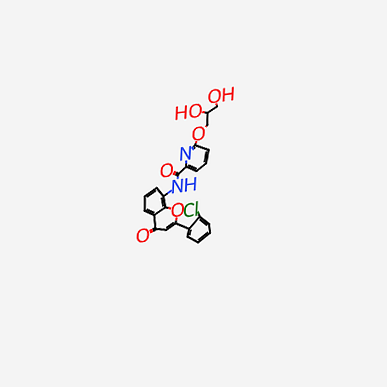 O=C(Nc1cccc2c(=O)cc(-c3ccccc3Cl)oc12)c1cccc(OCC(O)CO)n1